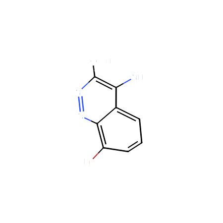 Nc1c(C(=O)O)nnc2c(Br)cccc12